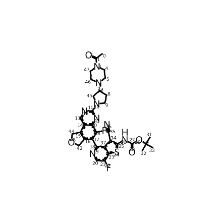 CC(=O)N1CCN([C@@H]2CCN(c3ncc4c5c(c(-c6ncc(F)c7sc(NC(=O)OC(C)(C)C)c(C#N)c67)c(F)c4n3)COC5)C2)CC1